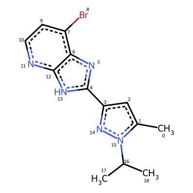 Cc1cc(-c2nc3c(Br)ccnc3[nH]2)nn1C(C)C